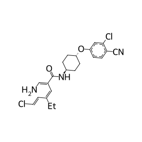 CCC(=C/C(=C\N)C(=O)N[C@H]1CC[C@H](Oc2ccc(C#N)c(Cl)c2)CC1)/C=C/Cl